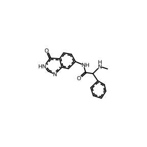 CNC(C(=O)Nc1ccc2c(=O)[nH]cnc2c1)c1ccccc1